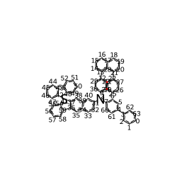 c1ccc(-c2ccc(N(c3ccc(-c4cccc5cccc(-c6ccccc6)c45)cc3)c3ccc4cc5c(cc4c3)S(c3ccccc3)(c3ccccc3)c3ccccc3-5)cc2)cc1